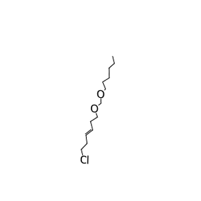 CCCCCCOCOCC/C=C/CCCl